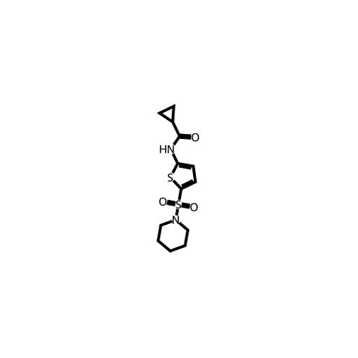 O=C(Nc1ccc(S(=O)(=O)N2CCCCC2)s1)C1CC1